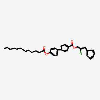 CCCCCCCCCCCC(=O)Oc1ccc(-c2ccc(C(=O)OCC(Cl)Cc3ccccc3)cc2)cc1